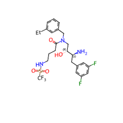 CCc1cccc(CN(C[C@@H](O)[C@@H](N)Cc2cc(F)cc(F)c2)C(=O)CCCNS(=O)(=O)C(F)(F)F)c1